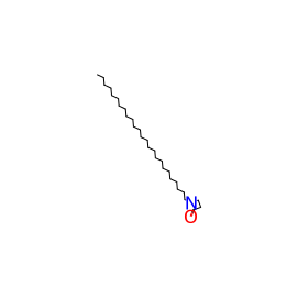 CCCCCCCCCCCCCCCCCCCCCCCCCN1CCC1=O